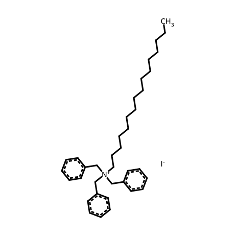 CCCCCCCCCCCCCCCC[N+](Cc1ccccc1)(Cc1ccccc1)Cc1ccccc1.[I-]